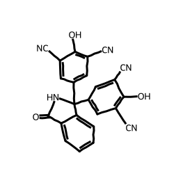 N#Cc1cc(C2(c3cc(C#N)c(O)c(C#N)c3)NC(=O)c3ccccc32)cc(C#N)c1O